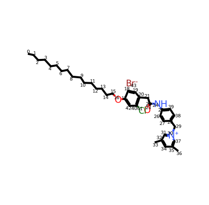 CCCCCCCCCCCCCCCCOc1ccc(CC(=O)Nc2ccc(C[n+]3cc(C)cc(C)c3)cc2)c(Cl)c1.[Br-]